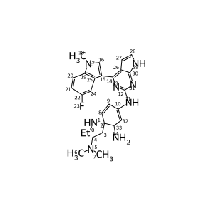 CCNC1(CCN(C)C)C=CC(Nc2nc(-c3cn(C)c4ccc(F)cc34)c3cc[nH]c3n2)=CC1N